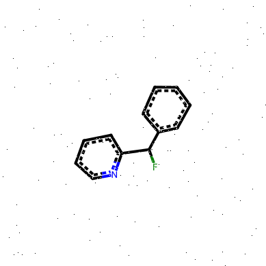 F[C](c1ccccc1)c1ccccn1